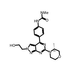 CNC(=O)Nc1ccc(-c2nc(N3CCOC[C@H]3C)nc3nn(CCO)cc23)cc1